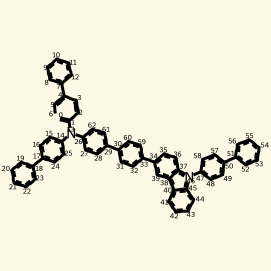 C=C(/C=C\C(=C/C)c1ccccc1)N(c1ccc(-c2ccccc2)cc1)c1ccc(-c2ccc(-c3ccc4c(c3)c3ccccc3n4-c3ccc(-c4ccccc4)cc3)cc2)cc1